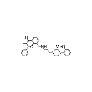 COc1ccccc1N1CCN(CCCNCc2cccc3c(=O)c(C)c(-c4ccccc4)oc23)CC1